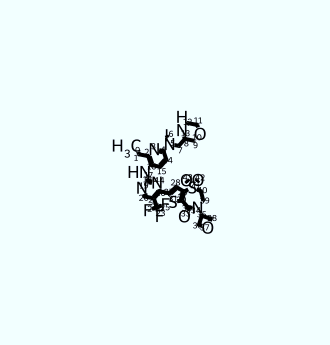 CCc1nc(N(I)CC2COCCN2)ccc1Nc1ncc(C(F)(F)F)c(-c2cc3c(s2)C(=O)N(C2COC2)CCS3(=O)=O)n1